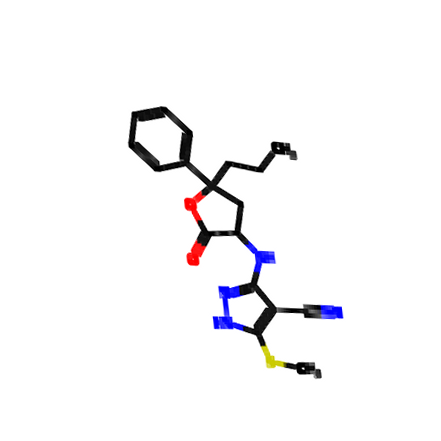 CCCC1(c2ccccc2)CC(Nc2n[nH]c(SC)c2C#N)C(=O)O1